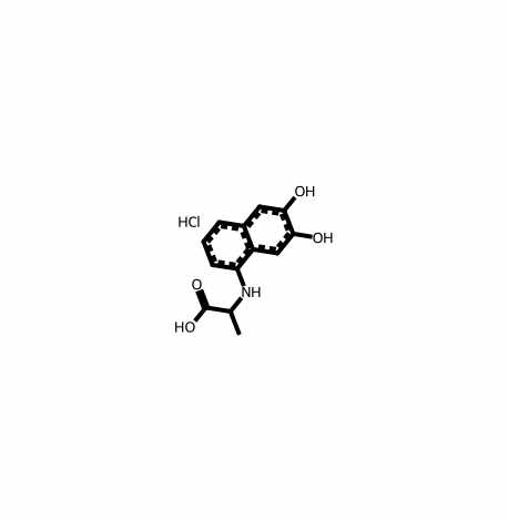 CC(Nc1cccc2cc(O)c(O)cc12)C(=O)O.Cl